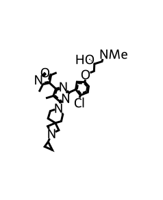 CNC[C@@H](O)COc1ccc(Cl)c(-c2nc(-c3c(C)noc3C)c(C)c(N3CCC4(CC3)CN(C3CC3)C4)n2)c1